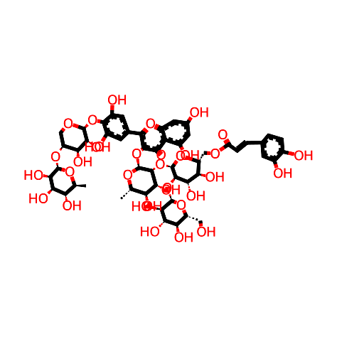 C[C@@H]1O[C@@H](O[C@@H]2CO[C@@H](Oc3c(O)cc(-c4oc5cc(O)cc(O)c5c(=O)c4O[C@@H]4O[C@@H](C)[C@H](O)[C@@H](O)[C@H]4O[C@@H]4O[C@H](COC(=O)/C=C/c5ccc(O)c(O)c5)[C@@H](O)[C@H](O)[C@H]4O[C@@H]4O[C@H](CO)[C@@H](O)[C@H](O)[C@H]4O)cc3O)[C@H](O)[C@H]2O)[C@H](O)[C@H](O)[C@H]1O